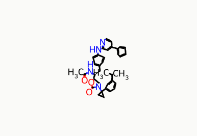 CC(=O)N[C@@H](Cc1ccc(Nc2cc(-c3ccccc3)ccn2)cc1)C1CN(C2(c3cccc(C(C)C)c3)CC2)C(=O)O1